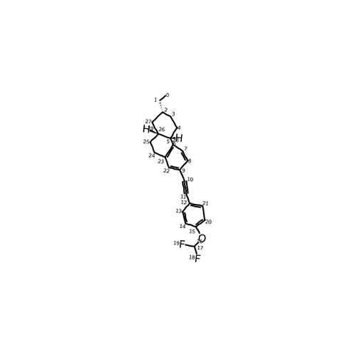 CC[C@@H]1CC[C@@H]2c3ccc(C#Cc4ccc(OC(F)F)cc4)cc3CC[C@@H]2C1